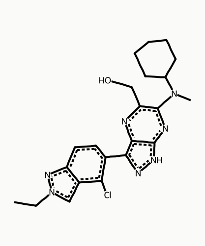 CCn1cc2c(Cl)c(-c3n[nH]c4nc(N(C)C5CCCCC5)c(CO)nc34)ccc2n1